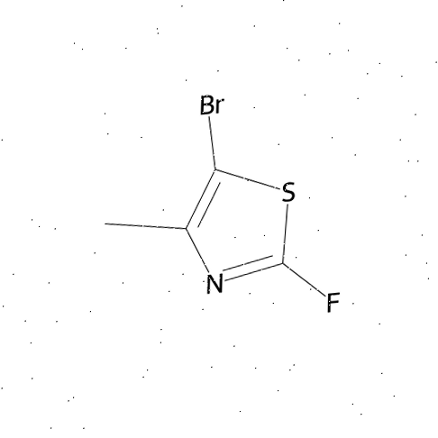 Cc1nc(F)sc1Br